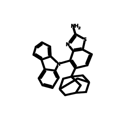 Nc1nc2c(-n3c4ccccc4c4ccccc43)c(C34CC5CC(CC(C5)C3)C4)ccc2s1